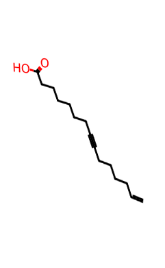 C=CCCCCC#CCCCCCCC(=O)O